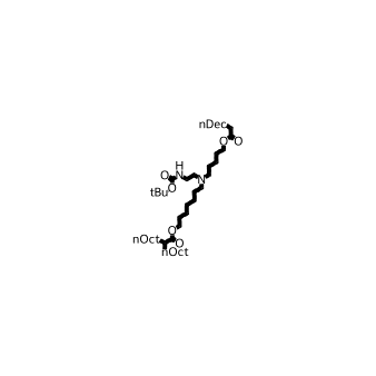 CCCCCCCCCCCC(=O)OCCCCCN(CCCCCCCOC(=O)C(CCCCCCCC)CCCCCCCC)CCNC(=O)OC(C)(C)C